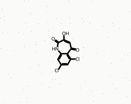 O=c1[nH]c2cc(Cl)cc(Cl)c2c(=O)cc1O